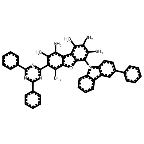 Bc1c(B)c(B)c2c(oc3c(B)c(-c4nc(-c5ccccc5)nc(-c5ccccc5)n4)c(B)c(B)c32)c1-n1c2ccccc2c2cc(-c3ccccc3)ccc21